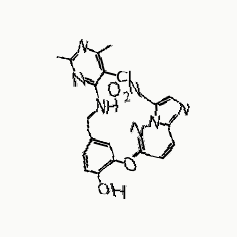 Cc1nc(C)c(Cl)c(NCc2ccc(O)c(Oc3ccc4ncc([N+](=O)[O-])n4n3)c2)n1